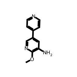 COc1ncc(-c2ccncc2)cc1N